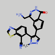 Cn1ncc(-c2ccc3c(=O)[nH]nc(CN)c3c2)c1-c1ccc2ncsc2c1C#N